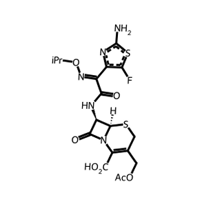 CC(=O)OCC1=C(C(=O)O)N2C(=O)[C@@H](NC(=O)C(=NOC(C)C)c3nc(N)sc3F)[C@H]2SC1